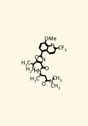 COc1ccc(-c2nc(C(=O)N[C@@H](C)CC(=O)N(C)C)c([C@H](C)N)o2)c2ccc(C(F)(F)F)nc12